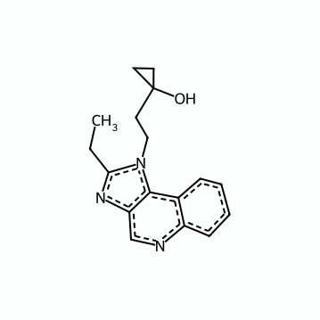 CCc1nc2cnc3ccccc3c2n1CCC1(O)CC1